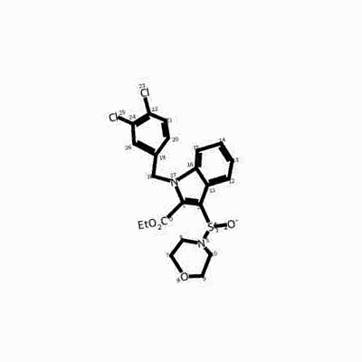 CCOC(=O)c1c([S+]([O-])N2CCOCC2)c2ccccc2n1Cc1ccc(Cl)c(Cl)c1